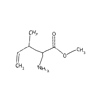 C=CC(C)C(N)C(=O)OC